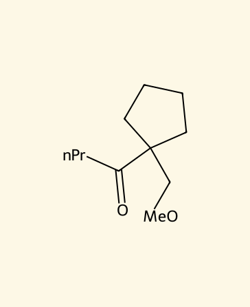 CCCC(=O)C1(COC)CCCC1